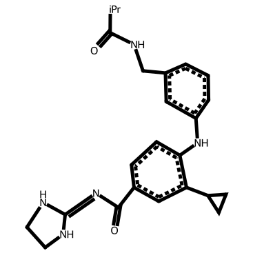 CC(C)C(=O)NCc1cccc(Nc2ccc(C(=O)N=C3NCCN3)cc2C2CC2)c1